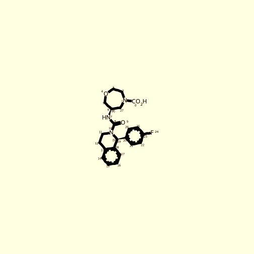 O=C(O)N1CCOC[C@H](NC(=O)N2CCc3ccccc3[C@@H]2c2ccc(F)cc2)C1